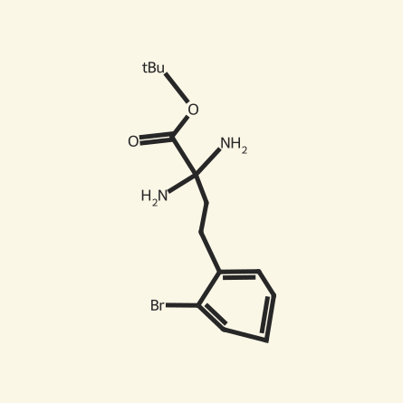 CC(C)(C)OC(=O)C(N)(N)CCc1ccccc1Br